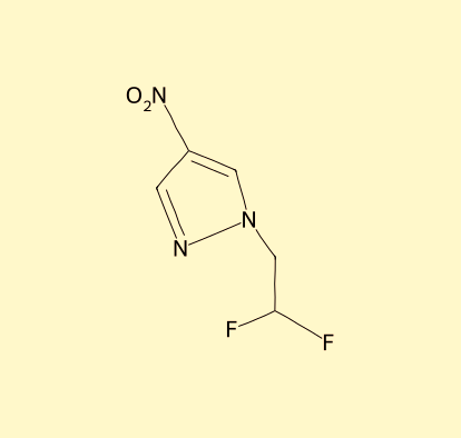 O=[N+]([O-])c1cnn(CC(F)F)c1